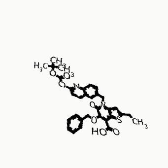 CCc1cc2c(s1)c(C(=O)O)c(OCc1ccccc1)c(=O)n2Cc1ccc2nc(OC(=O)OC(C)(C)C)ccc2c1